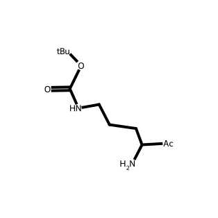 CC(=O)C(N)CCCNC(=O)OC(C)(C)C